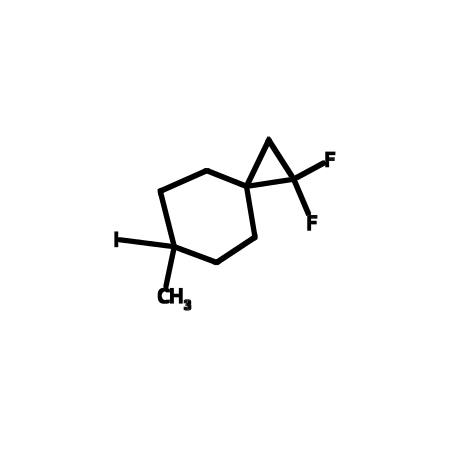 CC1(I)CCC2(CC1)CC2(F)F